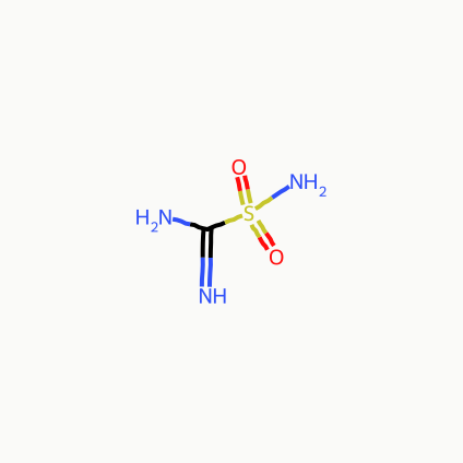 N=C(N)S(N)(=O)=O